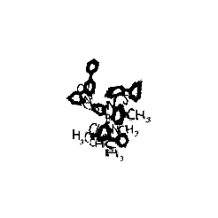 Cc1cc2c3c(c1)N1c4c(cc(C(C)(C)C)cc4C4(C)CCCCC14C)B3c1ccc(N3c4ccc(-c5ccccc5)cc4C4(C)CCCCC34C)cc1N2c1cccc2c1sc1ccccc12